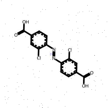 O=C(O)c1ccc(/N=N/c2ccc(C(=O)O)cc2Cl)c(Cl)c1